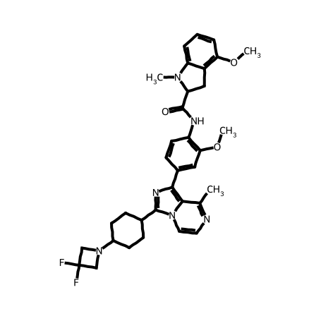 COc1cc(-c2nc(C3CCC(N4CC(F)(F)C4)CC3)n3ccnc(C)c23)ccc1NC(=O)C1Cc2c(OC)cccc2N1C